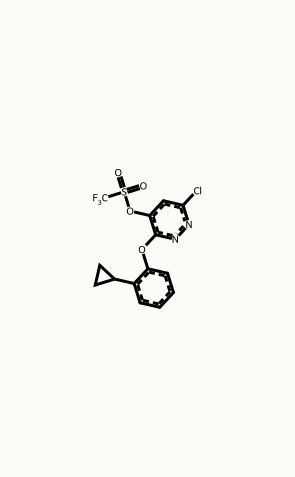 O=S(=O)(Oc1cc(Cl)nnc1Oc1ccccc1C1CC1)C(F)(F)F